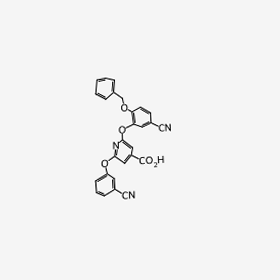 N#Cc1cccc(Oc2cc(C(=O)O)cc(Oc3cc(C#N)ccc3OCc3ccccc3)n2)c1